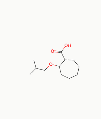 CC(C)COC1CCCCCC1C(=O)O